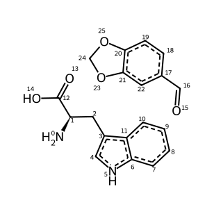 N[C@H](Cc1c[nH]c2ccccc12)C(=O)O.O=Cc1ccc2c(c1)OCO2